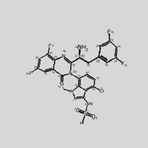 Cn1nc(NS(C)(=O)=O)c2c(Cl)ccc(-n3c([C@@H](N)Cc4cc(F)cc(F)c4)nc4c(F)cc(F)cc4c3=O)c21